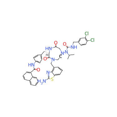 CC(C)N(C(=O)NCc1ccc(Cl)c(Cl)c1)N1CCN(Cc2cccc3sc(N)nc23)C(=O)[C@H](Cc2ccc(NC(=O)c3cccc4ccccc34)cc2)NC(=O)C1